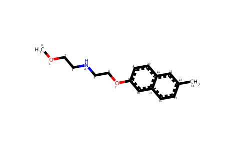 COCCNCCOc1ccc2cc(C)ccc2c1